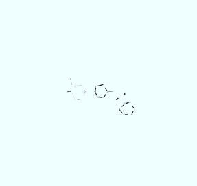 CCN1C[C@H](c2ccc(OS(=O)(=O)c3ccccc3)cc2)OCC1=O